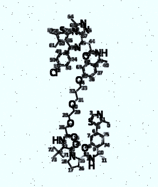 Cc1ncsc1-c1ccc([C@H](C)NC(=O)[C@@H]2CCCN2C(=O)C(NC(=O)COCCOCCCOc2ccc([C@H](C)NC(=O)C[C@@H]3N=C(c4ccc(Cl)cc4)c4c(sc(C)c4C)-n4c(C)nnc43)cc2)C(C)(C)C)cc1